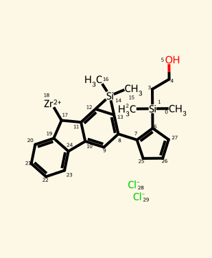 C[Si](C)(CCO)C1=C(c2cc3c(c4c2[Si]4(C)C)[CH]([Zr+2])c2ccccc2-3)CC=C1.[Cl-].[Cl-]